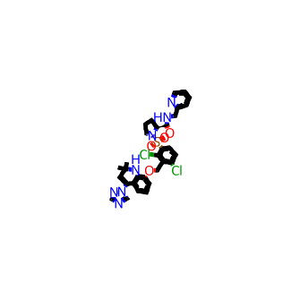 CC1(C)C=C(n2cncn2)c2cccc(OCc3c(Cl)ccc(S(=O)(=O)N4CCC[C@H]4C(=O)NCc4ccccn4)c3Cl)c2N1